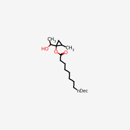 CCCCCCCCCCCCCCCCCC(=O)OC1(C(C)O)CC1C